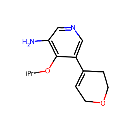 CC(C)Oc1c(N)cncc1C1=CCOCC1